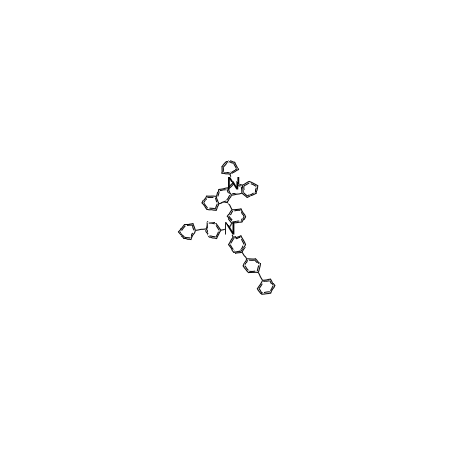 c1ccc(-c2ccc(-c3ccc(N(c4ccc(-c5ccccc5)cc4)c4cccc(-c5c6ccccc6cc6c5c5ccccc5n6-c5ccccc5)c4)cc3)cc2)cc1